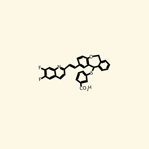 O=C(O)c1cccc(SC2c3ccccc3COc3ccc(/C=C/c4ccc5cc(F)c(F)cc5n4)cc32)c1